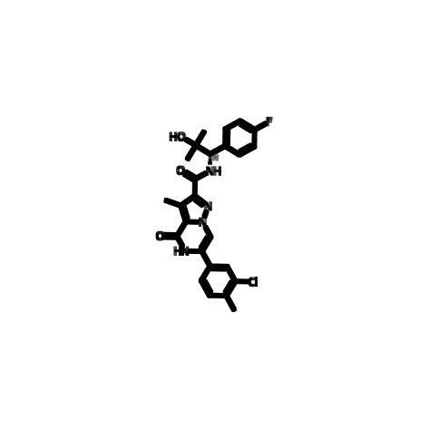 Cc1ccc(-c2cn3nc(C(=O)N[C@@H](c4ccc(F)cc4)C(C)(C)O)c(C)c3c(=O)[nH]2)cc1Cl